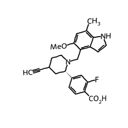 C#CC1CCN(Cc2c(OC)cc(C)c3[nH]ccc23)[C@H](c2ccc(C(=O)O)c(F)c2)C1